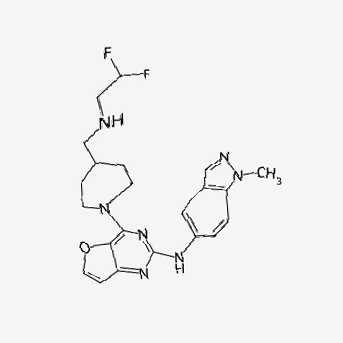 Cn1ncc2cc(Nc3nc(N4CCC(CNCC(F)F)CC4)c4occc4n3)ccc21